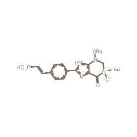 CCCCN1C[N+]([O-])(CCCC)C(=O)c2nc(-c3ccc(/C=C/C(=O)O)cc3)[nH]c21